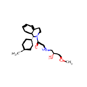 COC[C@@H](O)CNCC(=O)N1CCc2ccccc2C1[C@H]1CC[C@H](C)CC1